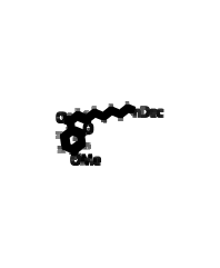 CCCCCCCCCCCCCCCc1cc(=O)c2ccc(OC)cc2o1